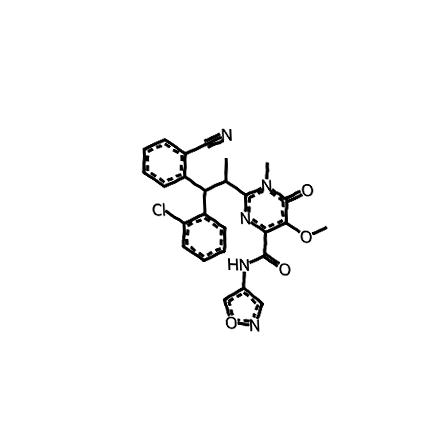 COc1c(C(=O)Nc2cnoc2)nc(C(C)C(c2ccccc2Cl)c2ccccc2C#N)n(C)c1=O